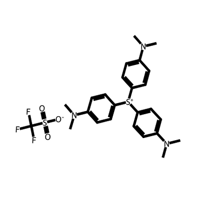 CN(C)c1ccc([S+](c2ccc(N(C)C)cc2)c2ccc(N(C)C)cc2)cc1.O=S(=O)([O-])C(F)(F)F